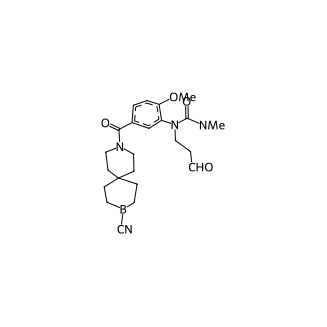 CNC(=O)N(CCC=O)c1cc(C(=O)N2CCC3(CCB(C#N)CC3)CC2)ccc1OC